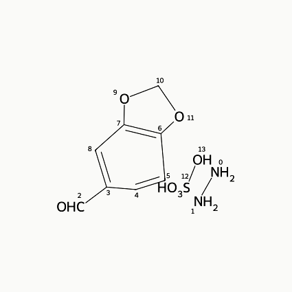 NN.O=Cc1ccc2c(c1)OCO2.O=S(=O)(O)O